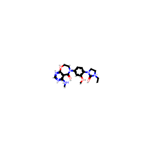 CCN1CCN(c2ccc(N3CCOc4ncnc(NC)c4C3=O)cc2OC)C1=O